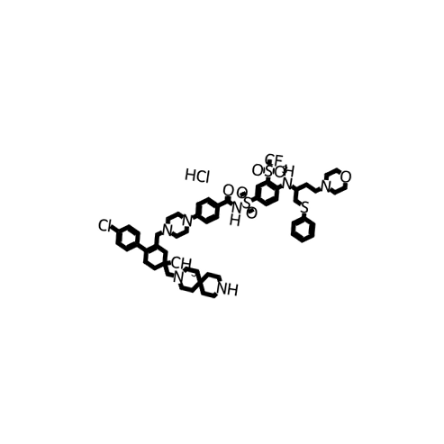 CC1(CN2CCC3(CCNCC3)CC2)CCC(c2ccc(Cl)cc2)=C(CN2CCN(c3ccc(C(=O)NS(=O)(=O)c4ccc(NC(CCN5CCOCC5)CSc5ccccc5)c(S(=O)(=O)C(F)(F)F)c4)cc3)CC2)C1.Cl